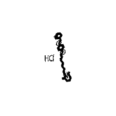 CC1CCCC(C)N1CCCCCCCOc1ccc(OCc2ccccc2)cc1.Cl